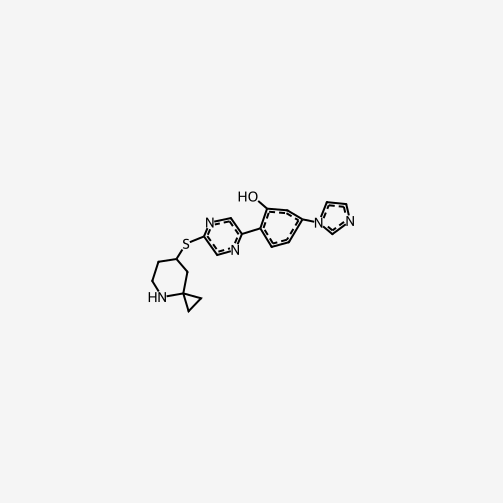 Oc1cc(-n2ccnc2)ccc1-c1cnc(SC2CCNC3(CC3)C2)cn1